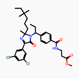 CCC(c1ccc(C(=O)NCCC(=O)OC)cc1)N1C(=O)C(c2cc(Cl)cc(Cl)c2)=NC1(C)CCCC(C)(C)CC